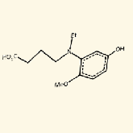 CCN(CCCC(=O)O)c1cc(O)ccc1OC